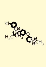 CC(C)CN(c1cccc(Cl)c1)S(=O)(=O)c1ccc(OC2CCCN(S(C)(=O)=O)C2)cc1